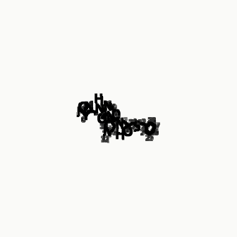 Cc1nonc1CNC1=NCCN(C2(C(=O)NCC(=O)CSCc3ccccc3)CCN(C)CC2)C1=O